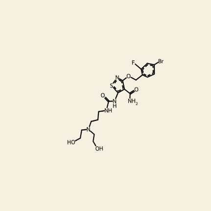 NC(=O)c1c(OCc2ccc(Br)cc2F)nsc1NC(=O)NCCCN(CCO)CCO